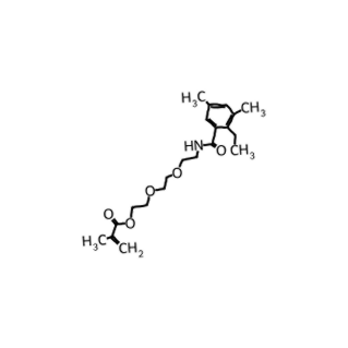 C=C(C)C(=O)OCCOCCOCCNC(=O)c1cc(C)cc(C)c1CC